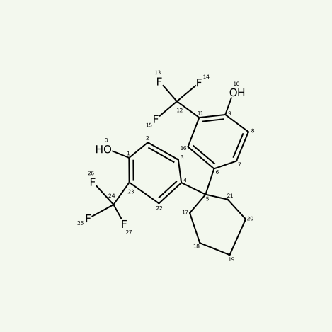 Oc1ccc(C2(c3ccc(O)c(C(F)(F)F)c3)CCCCC2)cc1C(F)(F)F